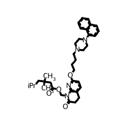 CC(C)CC(C)(C)CC(=O)OCN1C(=O)CCc2ccc(OCCCCN3CCN(c4cccc5ccccc45)CC3)nc21